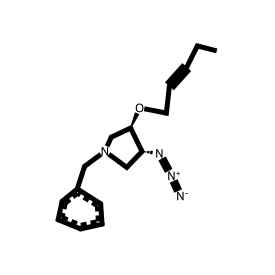 CCC#CCO[C@@H]1CN(Cc2ccccc2)C[C@H]1N=[N+]=[N-]